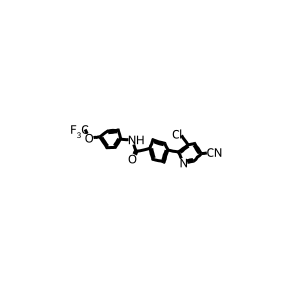 N#Cc1cnc(-c2ccc(C(=O)Nc3ccc(OC(F)(F)F)cc3)cc2)c(Cl)c1